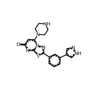 O=c1cc(N2CCNCC2)n2nc(-c3cccc(-c4cn[nH]c4)c3)sc2n1